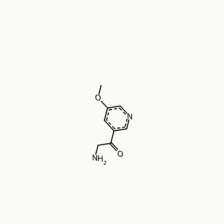 COc1cncc(C(=O)CN)c1